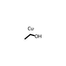 CCO.[Cu]